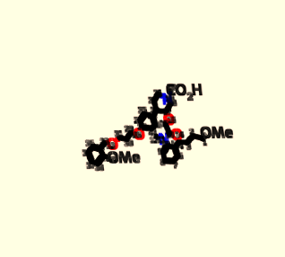 COCCCCc1ccccc1N(C)C(=O)COC1CN(C(=O)O)CCC1c1ccc(OCCCOCc2ccccc2OC)cc1